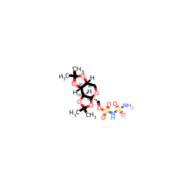 CC1(C)O[C@@H]2[C@@H](CO[C@@]3(COS(=O)(=O)NS(N)(=O)=O)OC(C)(C)O[C@@H]23)O1